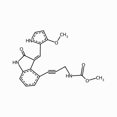 COC(=O)NCC#Cc1cccc2c1C(=Cc1[nH]ccc1OC)C(=O)N2